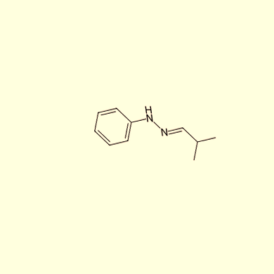 CC(C)C=NNc1ccccc1